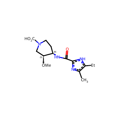 CCc1[nH]c(C(=O)N[C@@H]2CCN(C(=O)O)C[C@@H]2OC)nc1C